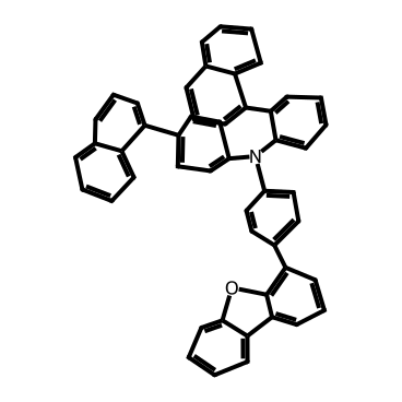 c1ccc(N(c2ccc(-c3cccc4ccccc34)cc2)c2ccc(-c3cccc4c3oc3ccccc34)cc2)c(-c2cccc3ccccc23)c1